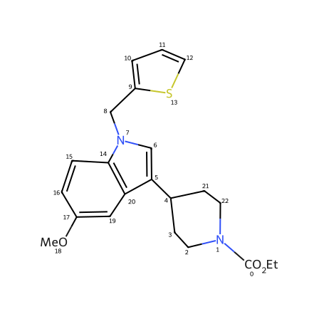 CCOC(=O)N1CCC(c2cn(Cc3cccs3)c3ccc(OC)cc23)CC1